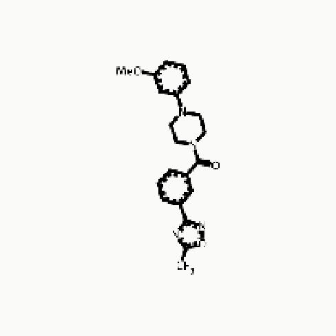 COc1cccc(N2CCN(C(=O)c3cccc(-c4noc(C(F)(F)F)n4)c3)CC2)c1